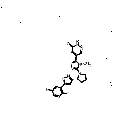 Cn1c(-c2cn[nH]c(=O)c2)nnc1N1CCC[C@@H]1c1cc(-c2cc(F)ccc2F)on1